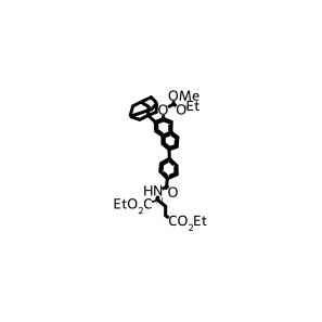 CCOC(=O)CC[C@H](NC(=O)c1ccc(-c2ccc3cc(OC(OC)OCC)c(C45CC6CC(CC(C6)C4)C5)cc3c2)cc1)C(=O)OCC